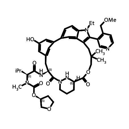 CCn1c(-c2cnccc2COC)c2c3cc(ccc31)-c1cc(O)cc(c1)C[C@H](NC(=O)[C@H](C(C)C)N(C)C(=O)O[C@H]1CCOC1)C(=O)N1CCC[C@H](N1)C(=O)OCC(C)(C)C2